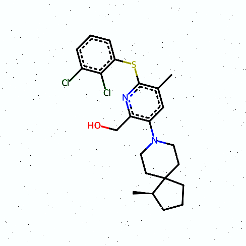 Cc1cc(N2CCC3(CCC[C@H]3C)CC2)c(CO)nc1Sc1cccc(Cl)c1Cl